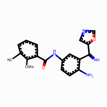 COc1c(C#N)cccc1C(=O)Nc1ccc(N)c(C(=N)c2cnco2)c1